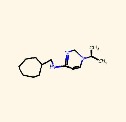 CC(C)N1C=CC(NCC2CCCCCC2)=NC1